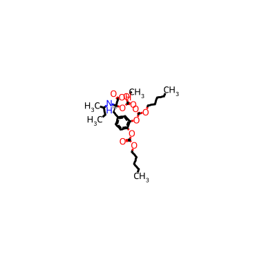 CCCCCOC(=O)Oc1ccc(C[C@](NC(C)CC)(OC(=O)OC)C(=O)O)cc1OC(=O)OCCCCC